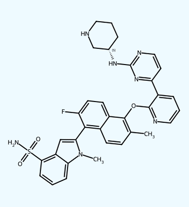 Cc1ccc2c(-c3cc4c(S(N)(=O)=O)cccc4n3C)c(F)ccc2c1Oc1ncccc1-c1ccnc(N[C@H]2CCCNC2)n1